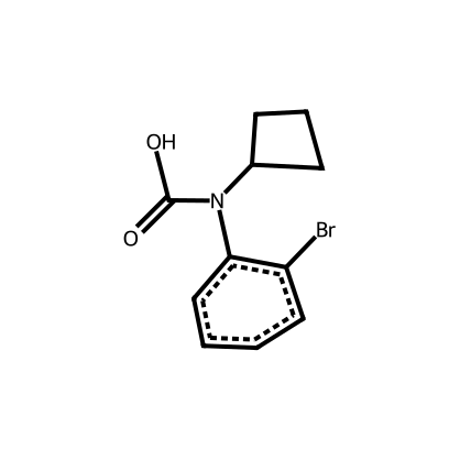 O=C(O)N(c1ccccc1Br)C1CCC1